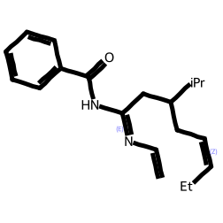 C=C/N=C(\CC(C/C=C\CC)C(C)C)NC(=O)c1ccccc1